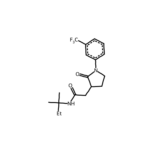 CCC(C)(C)NC(=O)CC1CCN(c2cccc(C(F)(F)F)c2)C1=O